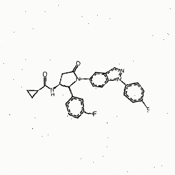 O=C(N[C@H]1CC(=O)N(c2ccc3c(cnn3-c3ccc(F)cc3)c2)C1c1cccc(F)c1)C1CC1